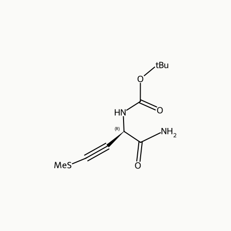 CSC#C[C@@H](NC(=O)OC(C)(C)C)C(N)=O